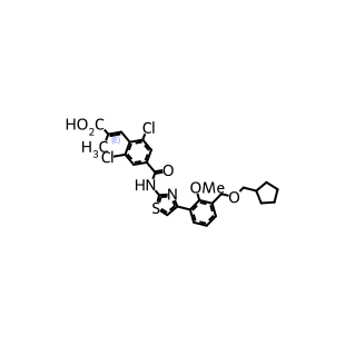 COc1c(COCC2CCCC2)cccc1-c1csc(NC(=O)c2cc(Cl)c(/C=C(\C)C(=O)O)c(Cl)c2)n1